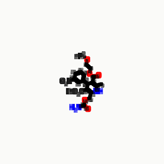 CCCOCCOC(=O)C1=C(C)NC(COC(N)=O)=C(C(=O)OCC)C1c1cccc([N+](=O)[O-])c1